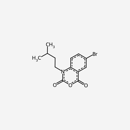 CC(C)CCn1c(=O)oc(=O)c2cc(Br)ccc21